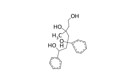 CC(O)(CCO)CC(O)(CC(O)c1ccccc1)c1ccccc1